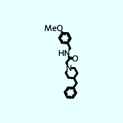 COc1ccc(CNC(=O)CN2CCC(Cc3ccccc3)CC2)cc1